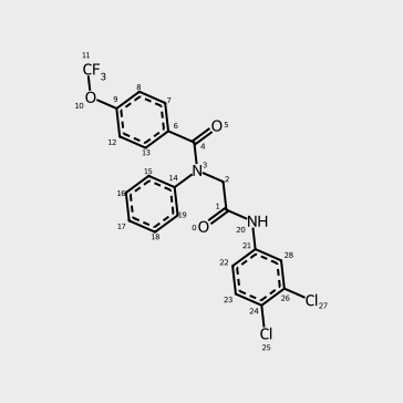 O=C(CN(C(=O)c1ccc(OC(F)(F)F)cc1)c1ccccc1)Nc1ccc(Cl)c(Cl)c1